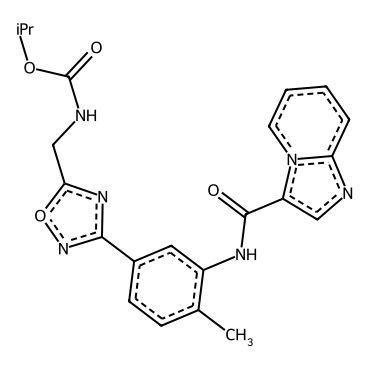 Cc1ccc(-c2noc(CNC(=O)OC(C)C)n2)cc1NC(=O)c1cnc2ccccn12